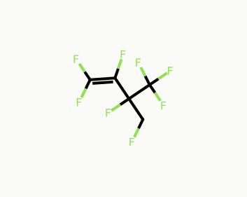 FCC(F)(C(F)=C(F)F)C(F)(F)F